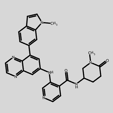 CN1CC(NC(=O)c2ccncc2Nc2cc(-c3ccc4ccn(C)c4c3)c3nccnc3c2)CCC1=O